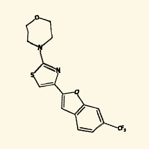 FC(F)(F)c1ccc2cc(-c3csc(N4CCOCC4)n3)oc2c1